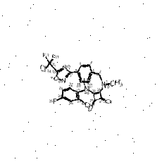 CN(Cc1ccc(-c2noc(C(F)(F)Cl)n2)cc1)c1c(Nc2ccc(F)cc2Cl)c(=O)c1=O